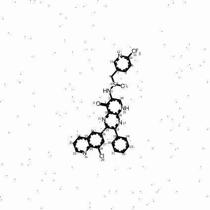 O=c1c(N[S+]([O-])Cc2ccc(C(F)(F)F)nc2)c[nH]c2nc(-c3ccccc3)c(-c3cc(Cl)c4ncccc4c3)nc12